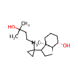 CC(C)(O)CCCC1(C2CCC3[C@@H](O)CCC[C@@]32C)CC1